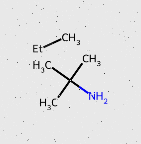 CC(C)(C)N.CCC